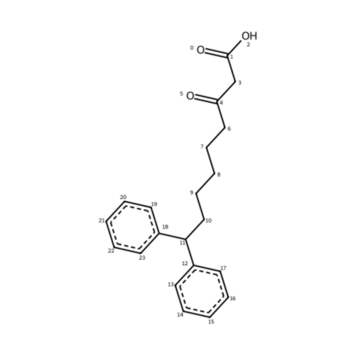 O=C(O)CC(=O)CCCCCC(c1ccccc1)c1ccccc1